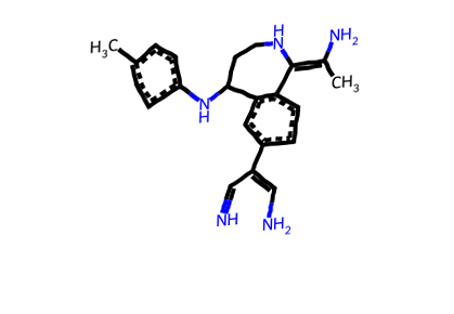 C/C(N)=C1/NCCC(Nc2ccc(C)cc2)c2cc(/C(C=N)=C/N)ccc21